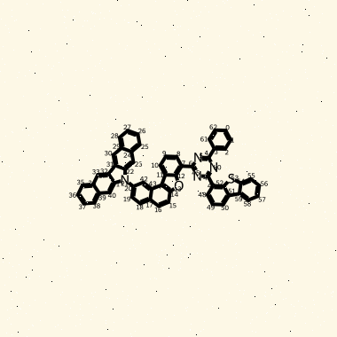 c1ccc(-c2nc(-c3cccc4c3oc3ccc5ccc(-n6c7cc8ccccc8cc7c7cc8ccccc8cc76)cc5c34)nc(-c3cccc4c3sc3ccccc34)n2)cc1